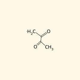 [CH2]C(=O)C(C)=O